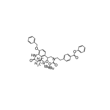 CC(C)(C)OC(=O)N(CCc1ccc(C(=O)Oc2ccccc2)cc1)CC(O[Si](C)(C)C(C)(C)C)c1ccc(OCc2ccccc2)c2[nH]c(=O)ccc12